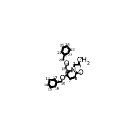 C=CCN1C(=O)C=C[C@@H](OCc2ccccc2)[C@H]1COCc1ccccc1